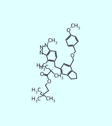 COc1ccc(COCc2cc([C@@H](c3ccc4c(nnn4C)c3C)C(C)(C)C(=O)OCC[Si](C)(C)C)cc3c2CCC3)cc1